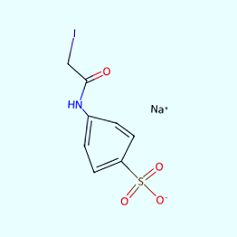 O=C(CI)Nc1ccc(S(=O)(=O)[O-])cc1.[Na+]